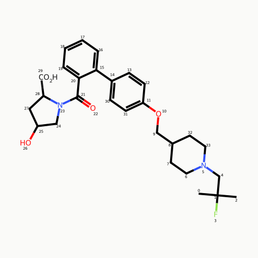 CC(C)(F)CN1CCC(COc2ccc(-c3ccccc3C(=O)N3CC(O)CC3C(=O)O)cc2)CC1